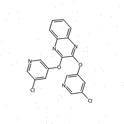 Clc1cncc(Oc2nc3ccccc3nc2Oc2cncc(Cl)c2)c1